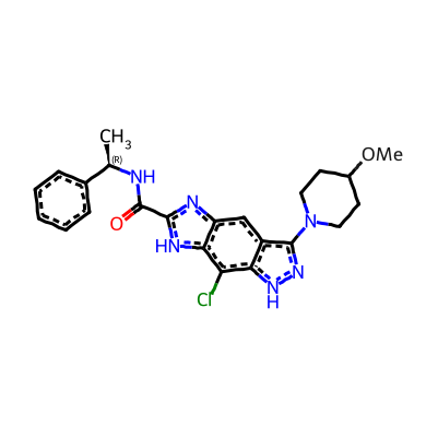 COC1CCN(c2n[nH]c3c(Cl)c4[nH]c(C(=O)N[C@H](C)c5ccccc5)nc4cc23)CC1